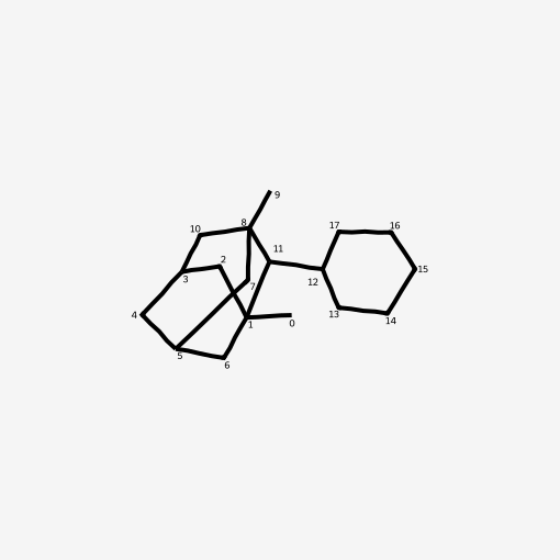 CC12CC3CC(C1)CC(C)(C3)C2C1CCCCC1